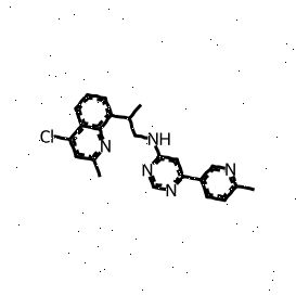 Cc1ccc(-c2cc(NCC(C)c3cccc4c(Cl)cc(C)nc34)ncn2)cn1